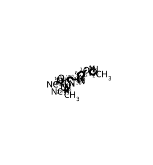 Cc1ccc(Oc2ccc3c(-c4ccc([C@H]5C[C@H](C#N)CO5)c(-n5cc(C)c(C#N)n5)n4)cnn3c2)nn1